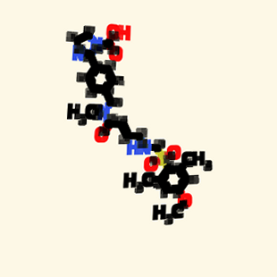 COc1cc(C)c(S(=O)(=O)CNCC=CC(=O)N(C)Cc2ccc(C3=NCCN3C(=O)O)cc2)c(C)c1